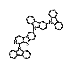 c1ccc2c(c1)c1ccccc1n2-c1ccc2c(c1)c1ccccc1n2-c1ccc2sc3c(-n4c5ccccc5c5ccccc54)nccc3c2c1